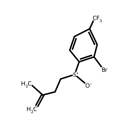 C=C(C)CC[S+]([O-])c1ccc(C(F)(F)F)cc1Br